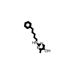 Cc1nc(NCCCCCc2ccccc2)ncc1O